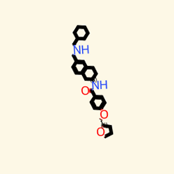 O=C(N[C@H]1CCc2cc(CNCC3CCCCC3)ccc2C1)c1ccc(OC[C@@H]2CCCO2)cc1